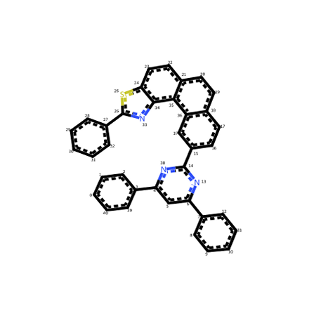 c1ccc(-c2cc(-c3ccccc3)nc(-c3ccc4ccc5ccc6sc(-c7ccccc7)nc6c5c4c3)n2)cc1